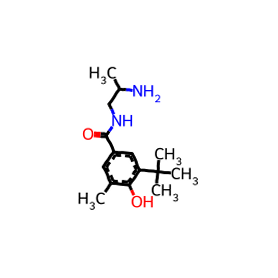 Cc1cc(C(=O)NCC(C)N)cc(C(C)(C)C)c1O